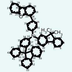 CC1(C)c2ccccc2-c2ccc(N(c3ccc(-c4cccc5c4oc4ccccc45)cc3)c3cccc(C4(c5ccccc5)c5ccccc5-c5ccccc54)c3)cc21